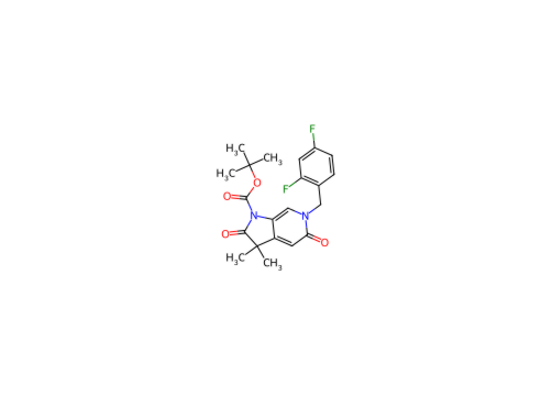 CC(C)(C)OC(=O)N1C(=O)C(C)(C)c2cc(=O)n(Cc3ccc(F)cc3F)cc21